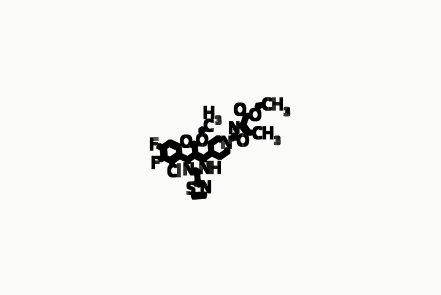 CCOC(=O)C1=C(C2CCN(c3nc(C(=O)OCC)c(C)o3)CC2)NC(c2nccs2)=NC1c1ccc(F)c(F)c1Cl